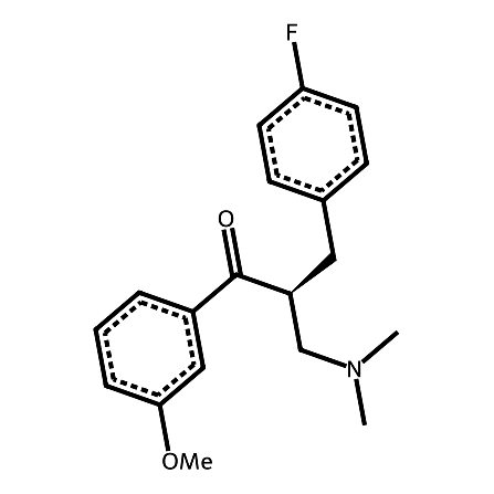 COc1cccc(C(=O)[C@@H](Cc2ccc(F)cc2)CN(C)C)c1